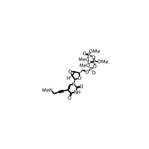 CNCC#Cc1cn([C@@H]2O[C@H](COP(=O)(OC)OP(=O)(OC)OP(=O)(OC)OC)C3O[C@@H]32)c(=O)[nH]c1=O